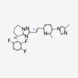 Cc1cn(-c2ccc(/C=C/c3nc4n(n3)CCC[C@H]4c3c(F)ccc(F)c3F)nc2C)cn1